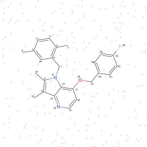 Cc1ccc(C)c(Cn2c(C)c(C)c3nccc(OCc4ccc(F)cc4)c32)c1